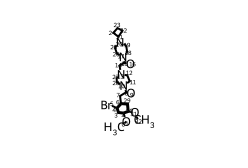 COc1cc(Br)c(CC(=O)N2CCN(CC(=O)N3CCN(C4CCC4)CC3)CC2)cc1OC